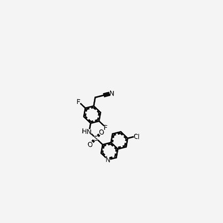 N#CCc1cc(F)c(NS(=O)(=O)c2cncc3cc(Cl)ccc23)cc1F